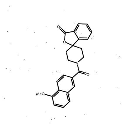 COc1cccc2cc(C(=O)N3CCC4(CC3)OC(=O)c3ccccc34)ccc12